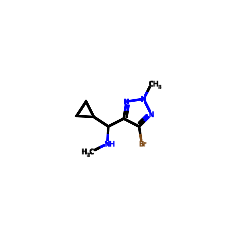 CNC(c1nn(C)nc1Br)C1CC1